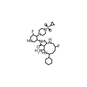 CC1NCC(F)CCC(C2CCCCC2)NC(N)C1C(=O)NC1CNCC(F)C1N1CCN(S(=O)(=O)C2CC2)CC1